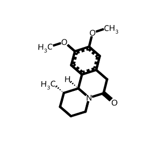 COc1cc2c(cc1OC)[C@@H]1[C@@H](C)CCCN1C(=O)C2